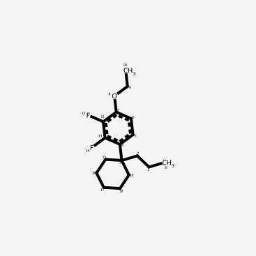 CCCC1(c2ccc(OCC)c(F)c2F)CCCCC1